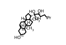 CC(C)CC[C@@H](O)C(O)(O)[C@H]1CC[C@H]2[C@@H]3CC=C4C[C@@H](O)CC[C@]4(C)[C@H]3CC[C@]12C